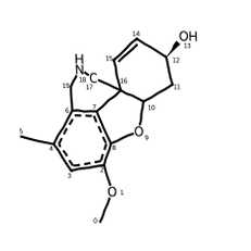 COc1cc(C)c2c3c1OC1C[C@H](O)C=CC31CNC2